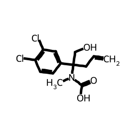 C=CCC(CO)(c1ccc(Cl)c(Cl)c1)N(C)C(=O)O